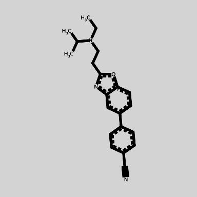 CCN(CCc1nc2cc(-c3ccc(C#N)cc3)ccc2o1)C(C)C